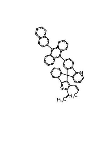 C=Cc1sc2c(c1/C=C\C)C1(c3cc(-c4c5ccccc5c(-c5ccc6ccccc6c5)c5ccccc45)ccc3-c3ncccc31)c1ccccc1-2